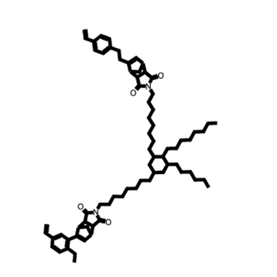 C=Cc1ccc(CCC2=CC3CC2C2C(=O)N(CCCCCCCCC4CC(CCCCCCCCN5C(=O)C6C7C=C(c8cc(C=C)ccc8CC)C(C7)C6C5=O)CC(CCCCCC)C4CCCCCCCC)C(=O)C32)cc1